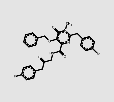 Cn1c(Cc2ccc(Br)cc2)nc(C(=O)NCC(=O)Cc2ccc(F)cc2)c(OCc2ccccc2)c1=O